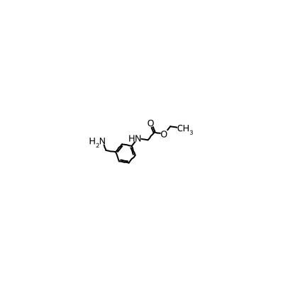 CCOC(=O)CNc1cccc(CN)c1